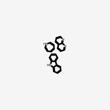 C1=CC=CNC=C1.c1ccc2c(c1)[nH]c1ccccc12.c1cnc2ncccc2c1